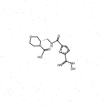 N=C(NO)c1ccc(C(=O)NC[C@H]2COCCN2C(=O)O)s1